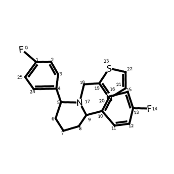 Fc1ccc(C2CCCC(c3ccc(F)cc3)N2Cc2nccs2)cc1